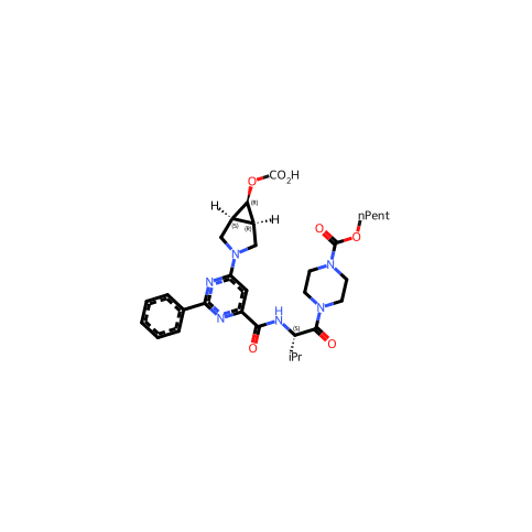 CCCCCOC(=O)N1CCN(C(=O)[C@@H](NC(=O)c2cc(N3C[C@@H]4[C@H](C3)[C@@H]4OC(=O)O)nc(-c3ccccc3)n2)C(C)C)CC1